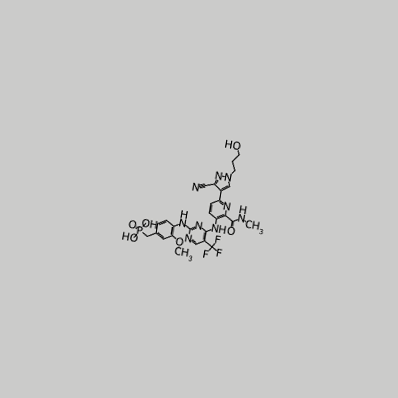 CNC(=O)c1nc(-c2cn(CCCO)nc2C#N)ccc1Nc1nc(Nc2ccc(CP(=O)(O)O)cc2OC)ncc1C(F)(F)F